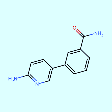 NC(=O)c1cccc(-c2ccc(N)nc2)c1